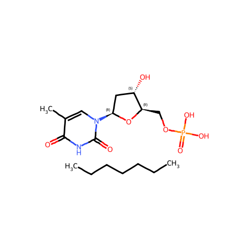 CCCCCCC.Cc1cn([C@H]2C[C@H](O)[C@@H](COP(=O)(O)O)O2)c(=O)[nH]c1=O